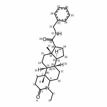 CCN1C(=O)CC[C@@]2(C)C1CC[C@@H]1[C@H]2CC[C@]2(C)C(C(=O)NCc3ccccc3)CC[C@@H]12